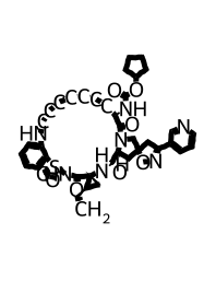 C=C[C@@H]1C[C@@]12NC(=O)[C@@H]1CC3(CC(c4cccnc4)=NO3)CN1C(=O)[C@@H](NC(=O)OC1CCCC1)CCCCCCCNc1ccccc1S(=O)(=O)NC2=O